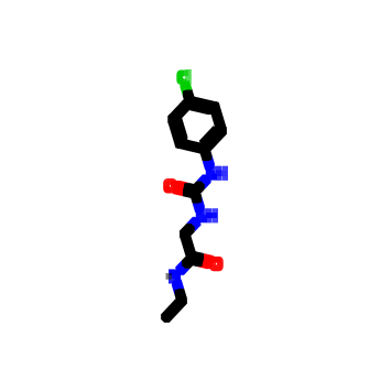 CC[N]C(=O)CNC(=O)Nc1ccc(Cl)cc1